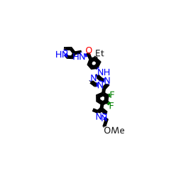 CCc1cc(Nc2nccn3c(-c4ccc(-c5cn(CCOC)nc5C)c(F)c4F)cnc23)ccc1C(=O)NCC1CCNCC1